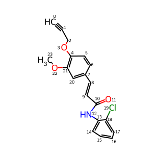 C#CCOc1ccc(/C=C/C(=O)Nc2ccccc2Cl)cc1OC